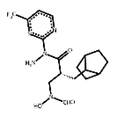 NN(C(=O)[C@H](CC1C2CCC1CC2)CN(O)C=O)c1nccc(C(F)(F)F)n1